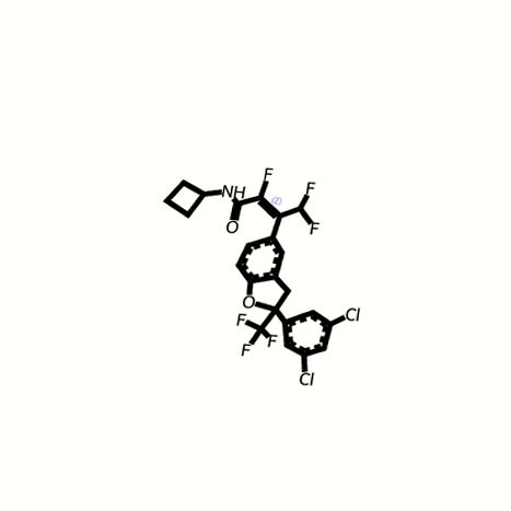 O=C(NC1CCC1)/C(F)=C(\c1ccc2c(c1)CC(c1cc(Cl)cc(Cl)c1)(C(F)(F)F)O2)C(F)F